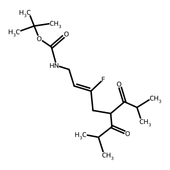 CC(C)C(=O)C(CC(F)=CCNC(=O)OC(C)(C)C)C(=O)C(C)C